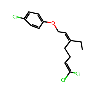 CCC(=CCOc1ccc(Cl)cc1)CCC=C(Cl)Cl